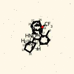 Cc1cccc(C(=O)N2[C@@H]3CC[C@H]2[C@H](Nc2ncc(C(F)(F)F)cn2)C3)c1-c1ccccn1